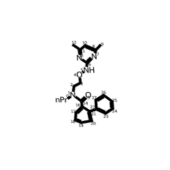 CCCN(CCONc1nc(C)cc(C)n1)C(=O)c1ccccc1-c1ccccc1